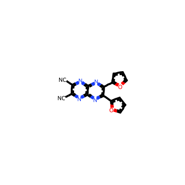 N#Cc1nc2nc(-c3ccco3)c(-c3ccco3)nc2nc1C#N